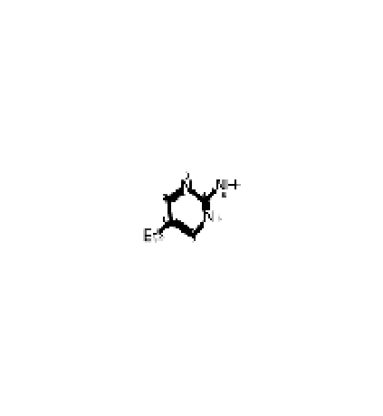 CCc1cnc([NH])nc1